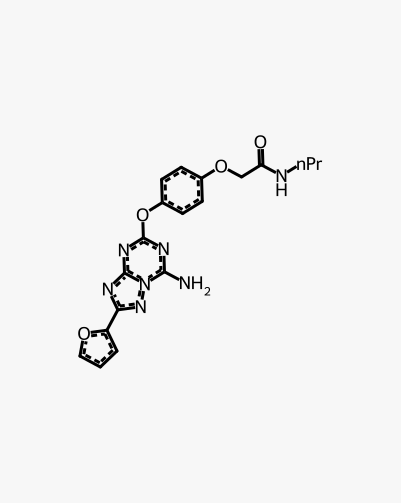 CCCNC(=O)COc1ccc(Oc2nc(N)n3nc(-c4ccco4)nc3n2)cc1